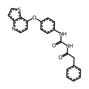 O=C(Cc1ccccc1)NC(=O)Nc1ccc(Oc2ccnc3ccsc23)cc1